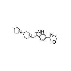 c1cc2c(CN3CCC(N4CCCCC4)CC3)c[nH]c2cc1C1COCC[N]1